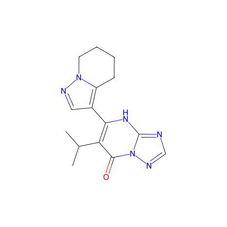 CC(C)c1c(-c2cnn3c2CCCC3)[nH]c2ncnn2c1=O